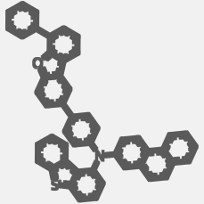 c1ccc(-c2cccc3c2oc2ccc(-c4ccc(N(c5ccc6c(ccc7ccccc76)c5)c5cccc6sc7ccccc7c56)cc4)cc23)cc1